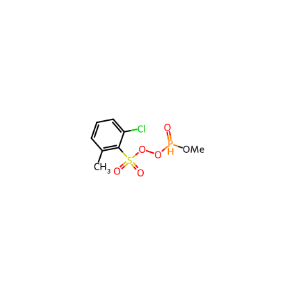 CO[PH](=O)OOS(=O)(=O)c1c(C)cccc1Cl